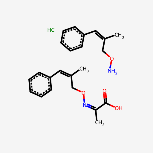 CC(=Cc1ccccc1)CON.CC(=Cc1ccccc1)CON=C(C)C(=O)O.Cl